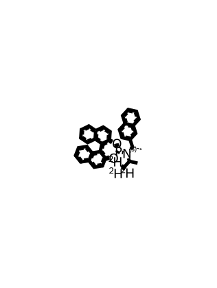 [2H]C([2H])([2H])C(C)N([C@@H](C)c1ccc2ccccc2c1)p1oc2ccc3ccccc3c2c2c(ccc3ccccc32)o1